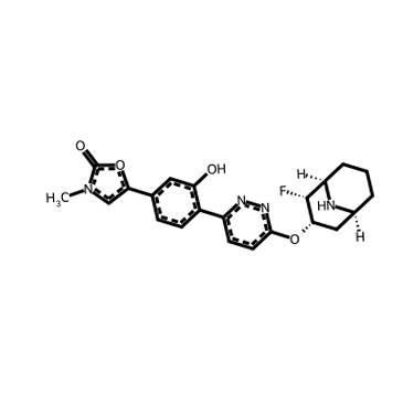 Cn1cc(-c2ccc(-c3ccc(O[C@H]4C[C@@H]5CCC[C@@H](N5)[C@H]4F)nn3)c(O)c2)oc1=O